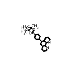 CC1(C)OB(c2ccc(-c3cc4cccnc4c4ncccc34)cc2)OC1(C)C